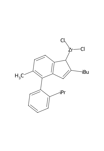 CCC(C)C1=Cc2c(ccc(C)c2-c2ccccc2C(C)C)[CH]1[Zr]([Cl])[Cl]